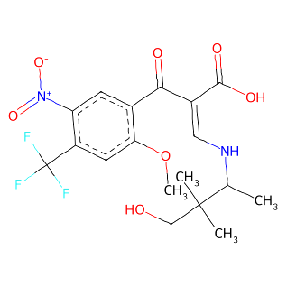 COc1cc(C(F)(F)F)c([N+](=O)[O-])cc1C(=O)C(=CNC(C)C(C)(C)CO)C(=O)O